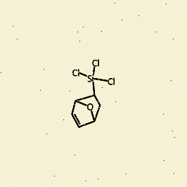 Cl[Si](Cl)(Cl)C1CC2C=CC1O2